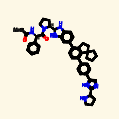 COC(=O)N[C@H](C(=O)N1CCC[C@H]1C1Nc2ccc(-c3ccc(-c4ccc(-c5cnc(C6CCCN6)[nH]5)cc4)c4c3CCC43CCCC3)cc2N1)c1ccccc1